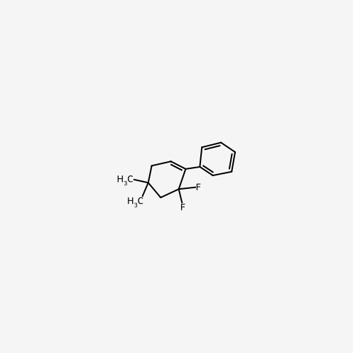 CC1(C)CC=C(c2ccccc2)C(F)(F)C1